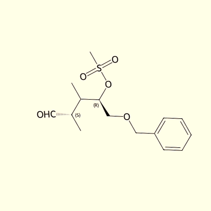 CC([C@H](C)C=O)[C@H](COCc1ccccc1)OS(C)(=O)=O